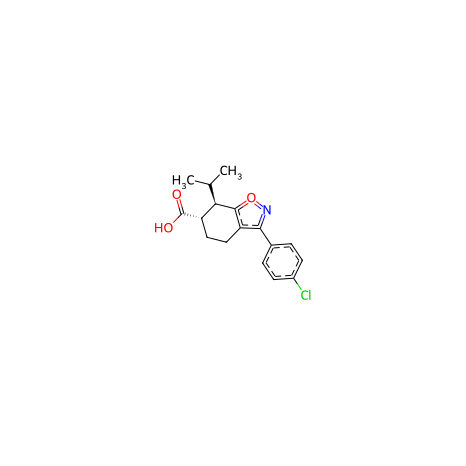 CC(C)[C@H]1c2onc(-c3ccc(Cl)cc3)c2CC[C@@H]1C(=O)O